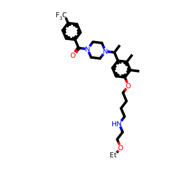 CCOCCNCCCCOc1ccc(C(C)N2CCN(C(=O)c3ccc(C(F)(F)F)cc3)CC2)c(C)c1C